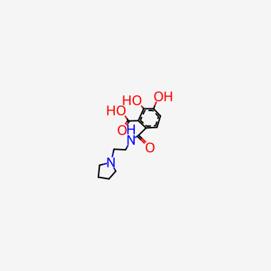 O=C(NCCN1CCCC1)c1ccc(O)c(O)c1C(=O)O